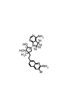 [2H]C1([2H])c2c(N)ncnc2N([C@@H]2C[C@](C)(CCc3ccc4cc(Br)c(N)nc4c3)[C@@H](O)[C@H]2O)C1([2H])[2H]